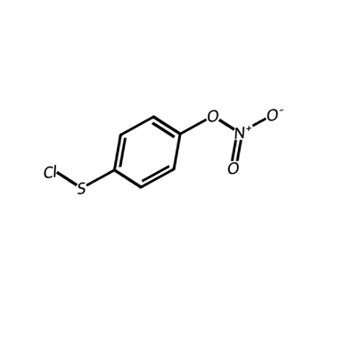 O=[N+]([O-])Oc1ccc(SCl)cc1